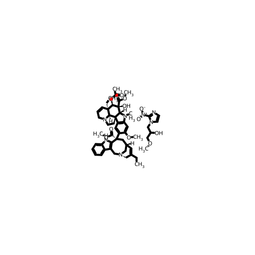 CCC1=C[C@@H]2C[N@](C1)Cc1c([nH]c3ccccc13)[C@@](C(=O)OC)(c1cc3c(cc1OC)N(C)[C@H]1[C@@](O)(C(=O)OC)[C@H](OC(C)=O)[C@]4(CC)C=CCN5CC[C@]31[C@@H]54)C2.COCC(O)Cn1ccnc1[N+](=O)[O-]